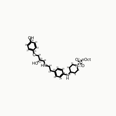 CCCCCCCCS(=O)(=O)N1CCC(Nc2ccc(CCNC[C@H](O)COc3ccc(O)cc3)cc2)CC1